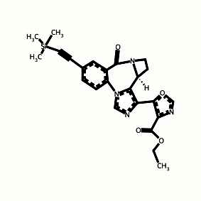 CCOC(=O)c1ncoc1-c1ncn2c1[C@@H]1CCN1C(=O)c1cc(C#C[Si](C)(C)C)ccc1-2